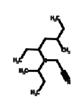 CCC(C)CC(CC)N(CC#N)C(C)CC